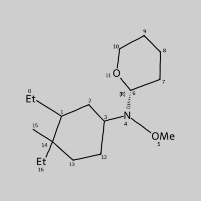 CCC1CC(N(OC)[C@H]2CCCCO2)CCC1(C)CC